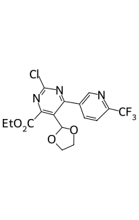 CCOC(=O)c1nc(Cl)nc(-c2ccc(C(F)(F)F)nc2)c1C1OCCO1